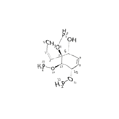 C/C=C\[C@]1(OP)[C@H](O)C=C[C@H](OP)[C@H]1OP